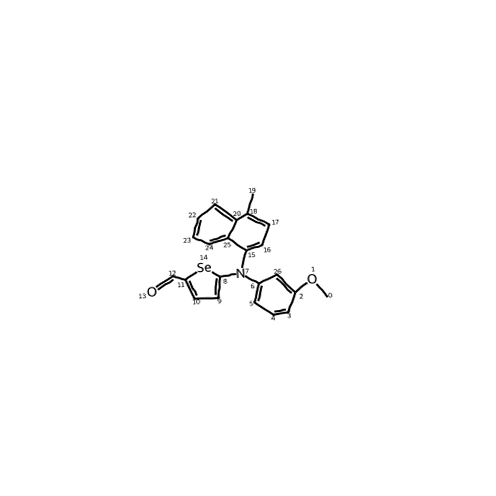 COc1cccc(N(c2ccc(C=O)[se]2)c2ccc(C)c3ccccc23)c1